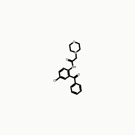 O=C(CN1CCOCC1)Nc1ccc(Cl)cc1C(=O)c1ccccc1